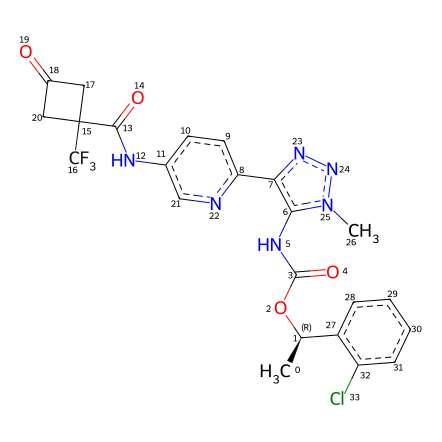 C[C@@H](OC(=O)Nc1c(-c2ccc(NC(=O)C3(C(F)(F)F)CC(=O)C3)cn2)nnn1C)c1ccccc1Cl